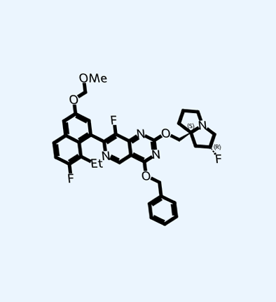 CCc1c(F)ccc2cc(OCOC)cc(-c3ncc4c(OCc5ccccc5)nc(OC[C@@]56CCCN5C[C@H](F)C6)nc4c3F)c12